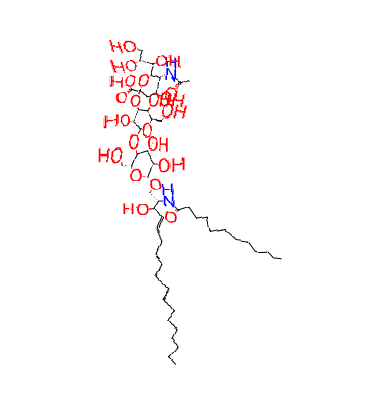 CCCCCCCCCCCCC/C=C/[C@@H](O)[C@H](CO[C@@H]1O[C@H](CO)[C@@H](O[C@@H]2O[C@H](CO)[C@H](O)[C@H](O[C@]3(C(=O)O)C[C@H](O)[C@@H](NC(C)=O)C([C@H](O)[C@H](O)CO)O3)[C@H]2O)[C@H](O)C1O)NC(=O)CCCCCCCCCCC